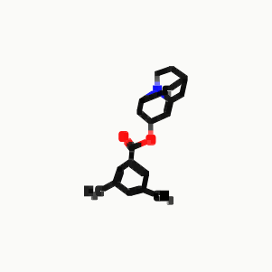 Cc1cc(C)cc(C(=O)OC2C=C3CC4CCN3C(C4)C2)c1